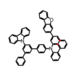 c1ccc(-c2cc(-c3ccc(N(c4cccc(-c5ccc6c(c5)oc5ccccc56)c4)c4ccccc4-c4ccccc4)cc3)cc(-n3c4ccccc4c4ccccc43)c2)cc1